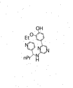 CCCC(Nc1cncc(-c2ccc(O)c(OCC)c2)n1)c1cccnc1